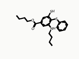 CCCCNc1cc(C(=O)OCCCC)cc(S)c1Sc1ccccc1